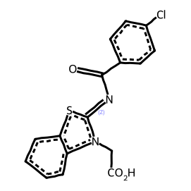 O=C(O)Cn1/c(=N/C(=O)c2ccc(Cl)cc2)sc2ccccc21